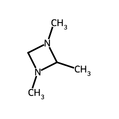 CC1N(C)CN1C